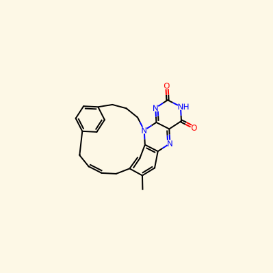 Cc1cc2nc3c(=O)[nH]c(=O)nc-3n3c2cc1CC=CCc1ccc(cc1)CCC3